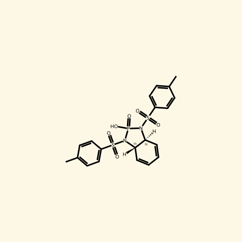 Cc1ccc(S(=O)(=O)N2[C@H]3C=CC=C[C@@H]3N(S(=O)(=O)c3ccc(C)cc3)P2(=O)O)cc1